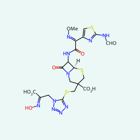 CON=C(C(=O)NC1C(=O)N2CC(CSc3nnnn3CC(=NO)C(=O)O)(C(=O)O)CS[C@H]12)c1csc(NC=O)n1